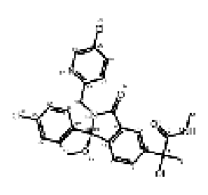 CNC(=O)C(C)(O)c1ccc2c(c1)C(=O)N(Cc1ccc(Cl)cn1)[C@@]2(OC)c1ccc(Cl)cc1